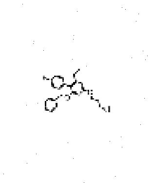 CCc1cc(OCCCCl)cc(OCc2ccccc2)c1-c1ccc(F)cc1